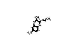 CCOC(=O)C(C)Oc1cc[c]c(N)c1